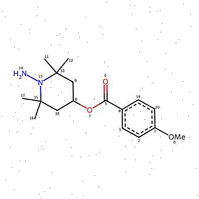 COc1ccc(C(=O)OC2CC(C)(C)N(N)C(C)(C)C2)cc1